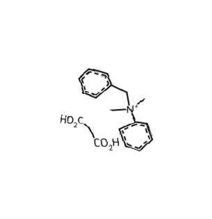 C[N+](C)(Cc1ccccc1)c1ccccc1.O=C(O)CC(=O)O